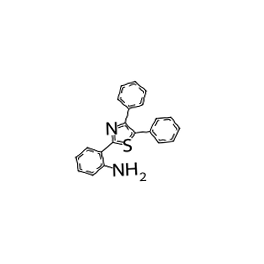 Nc1ccccc1-c1nc(-c2ccccc2)c(-c2ccccc2)s1